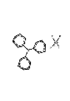 F[AsH-](F)(F)F.c1ccc([S+](c2ccccc2)c2ccccc2)cc1